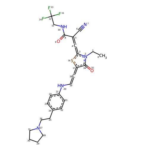 CCn1c(=C=C(C#N)C(=O)NCC(F)(F)F)sc(=C=CNc2ccc(CCN3CCCC3)cc2)c1=O